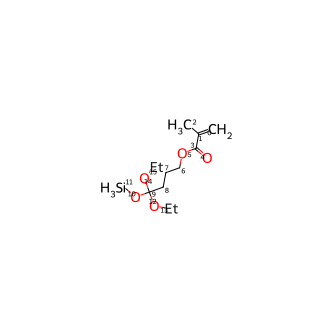 C=C(C)C(=O)OCCCC(O[SiH3])(OCC)OCC